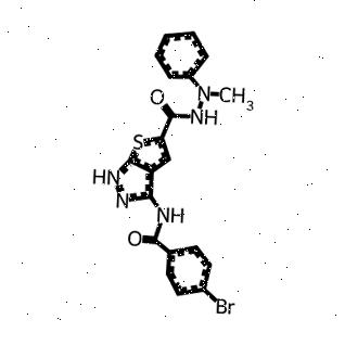 CN(NC(=O)c1cc2c(NC(=O)c3ccc(Br)cc3)n[nH]c2s1)c1ccccc1